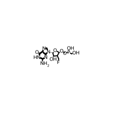 Nc1nc2c(ncn2[C@@H]2O[C@H](OOP(O)CO)C(CF)[C@@H]2O)c(=O)[nH]1